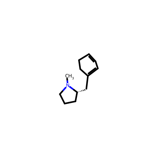 CN1CCC[C@H]1CC1=CC=CCC1